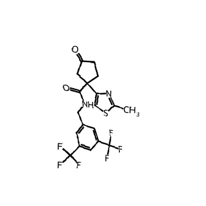 Cc1nc(C2(C(=O)NCc3cc(C(F)(F)F)cc(C(F)(F)F)c3)CCC(=O)C2)cs1